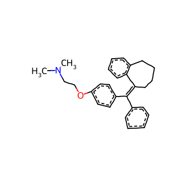 CN(C)CCOc1ccc(C(=C2CCCCc3ccccc32)c2ccccc2)cc1